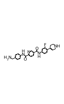 NCc1ccc(NC(=O)c2ccc(C(=O)Nc3ccc(C4=CCNCC4)c(F)c3)cn2)cc1